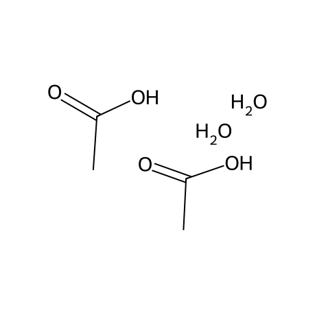 CC(=O)O.CC(=O)O.O.O